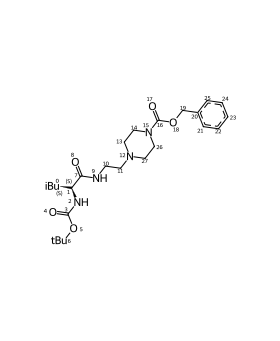 CC[C@H](C)[C@H](NC(=O)OC(C)(C)C)C(=O)NCCN1CCN(C(=O)OCc2ccccc2)CC1